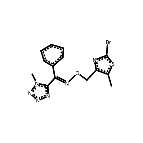 Cc1sc(Br)nc1CO/N=C(\c1ccccc1)c1nnnn1C